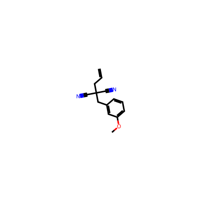 C=CCC(C#N)(C#N)Cc1cccc(OC)c1